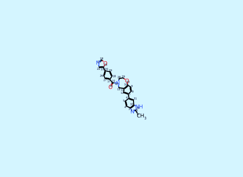 Cc1nc2ccc(-c3ccc4c(c3)CN(C(=O)c3ccc(-c5cnco5)cc3)CCO4)cc2[nH]1